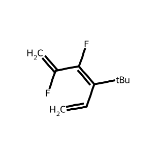 C=C/C(=C(/F)C(=C)F)C(C)(C)C